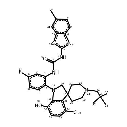 Cc1ccc2nc(NC(=O)Nc3cc(F)ccc3N3CC4(CCN(CC(C)(C)C)CC4)c4c(Cl)ccc(O)c43)sc2c1